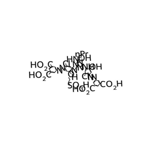 CCCC(O)Nc1nc(Nc2cc(Cl)c(N=Nc3cc(C(=O)O)cc(C(=O)O)c3)cc2O)nc(Nc2cc(Cl)c(N=Nc3cc(C(=O)O)cc(C(=O)O)c3)cc2OCCCS(=O)(=O)O)n1